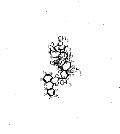 COC(=O)[C@]1(C)C(=O)CC[C@]2(C)[C@H]3C(=O)C=C4[C@@H]5C[C@@](C)(C(=O)OC(c6ccccc6)c6ccccc6)CC[C@]5(C)CC[C@@]4(C)[C@]3(C)CC[C@@H]12